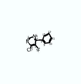 Fc1c(Cl)n[c]nc1-c1ccccc1